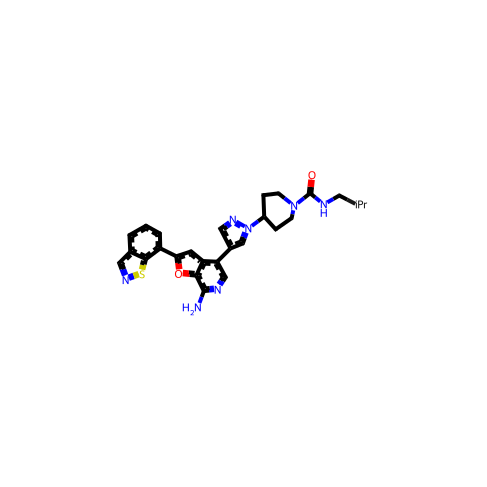 CC(C)CNC(=O)N1CCC(n2cc(-c3cnc(N)c4oc(-c5cccc6cnsc56)cc34)cn2)CC1